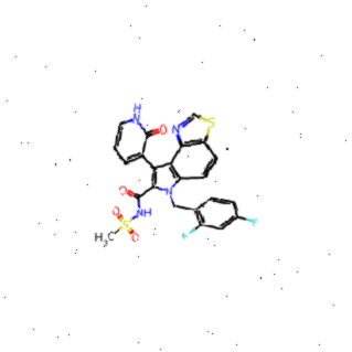 CS(=O)(=O)NC(=O)c1c(-c2ccc[nH]c2=O)c2c3ncsc3ccc2n1Cc1ccc(F)cc1F